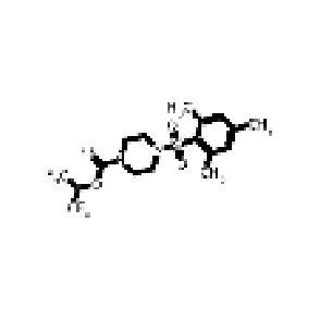 Cc1cc(C)c(S(=O)(=O)N2CCN(C(=O)OC(C(F)(F)F)C(F)(F)F)CC2)c(C)c1